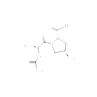 C[C@H](NC(=O)C(C)(C)C)C(=O)N1C[C@H](O)C[C@H]1C(N)=O